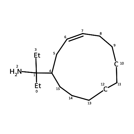 CCC(N)(CC)C1C/C=C\CCCCCCCC1